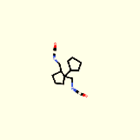 O=C=NCC1CCCC1(CN=C=O)C1CCCC1